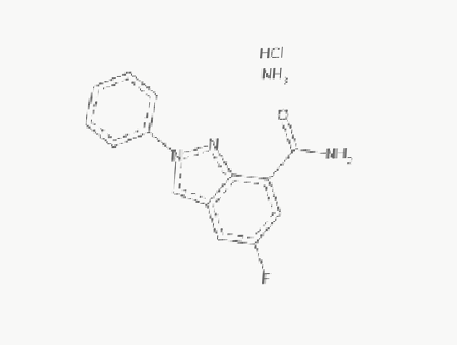 Cl.N.NC(=O)c1cc(F)cc2cn(-c3ccccc3)nc12